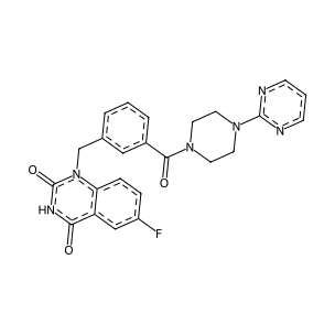 O=C(c1cccc(Cn2c(=O)[nH]c(=O)c3cc(F)ccc32)c1)N1CCN(c2ncccn2)CC1